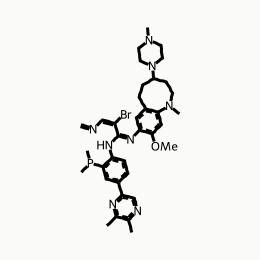 C=N/C=C(Br)\C(=N/c1cc2c(cc1OC)N(C)CCC(N1CCN(C)CC1)CC2)Nc1ccc(-c2cnc(C)c(C)n2)cc1P(C)C